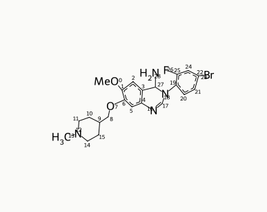 COc1cc2c(cc1OCC1CCN(C)CC1)N=CN(c1ccc(Br)cc1F)C2N